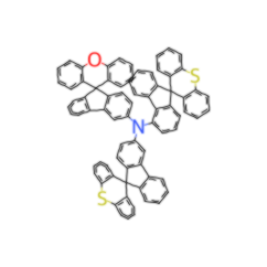 c1ccc2c(c1)Oc1ccccc1C21c2ccccc2-c2cc(N(c3ccc4c(c3)-c3ccccc3C43c4ccccc4Sc4ccccc43)c3cccc4c3-c3ccccc3C43c4ccccc4Sc4ccccc43)ccc21